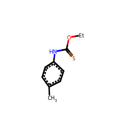 CCOC(=S)Nc1ccc(C)cc1